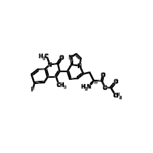 Cc1c(-c2ccc(C[C@H](N)C(=O)OC(=O)C(F)(F)F)n3ccnc23)c(=O)n(C)c2ccc(F)cc12